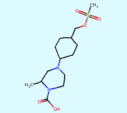 CC1CN(C2CCC(COS(C)(=O)=O)CC2)CCN1C(=O)O